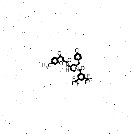 Cc1ccc2c(=O)cc(C(=O)NC3CCN(C(=O)c4cc(C(F)(F)F)cc(C(F)(F)F)c4)C(Cc4ccc(Cl)cc4)C3)oc2c1